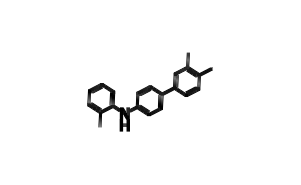 Cc1ccc(-c2ccc(Nc3ccccc3C)cc2)cc1C